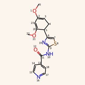 COC1=CCC(c2csc(NC(=O)c3ccncc3)n2)C(OC)=C1